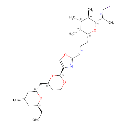 C=C1C[C@H](C[C@@H]2CCO[C@H](c3coc(/C=C/C[C@H]4O[C@@H](/C(C)=C/I)[C@H](C)[C@@H](C)[C@H]4C)n3)O2)O[C@@H](CC=O)C1